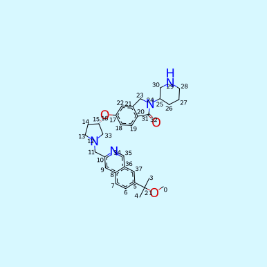 COC(C)(C)c1ccc2cc(CN3CC[C@H](Oc4ccc5c(c4)CN(C4CCCNC4)C5=O)C3)ncc2c1